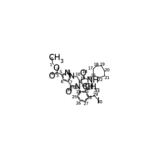 CCOC(=O)c1cc2n(n1)CC(C)(C(=O)NC1CCCCCC1)N(c1cccc(CI)c1C)C2=O